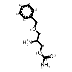 NC(=O)OCC(N)COCc1ccccc1